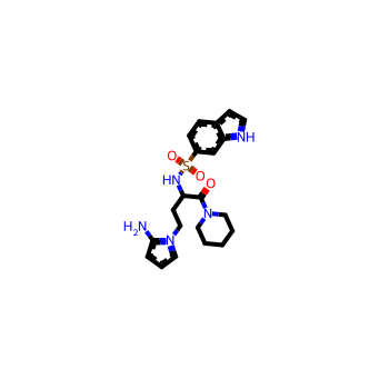 Nc1cccn1CCC(NS(=O)(=O)c1ccc2cc[nH]c2c1)C(=O)N1CCCCC1